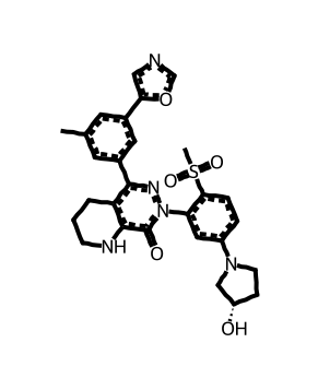 Cc1cc(-c2cnco2)cc(-c2nn(-c3cc(N4CC[C@H](O)C4)ccc3S(C)(=O)=O)c(=O)c3c2CCCN3)c1